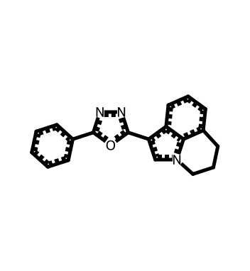 c1ccc(-c2nnc(-c3cn4c5c(cccc35)CCC4)o2)cc1